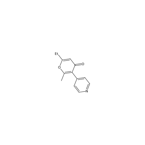 CCc1cc(=O)c(-c2ccncc2)c(C)o1